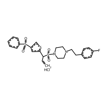 C=CC(c1cc(S(=O)(=O)c2ccccc2)cs1)S(=O)(=O)N1CCN(CCc2ccc(F)cc2)CC1.Cl